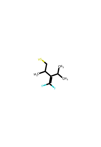 CC(C)C(=C(F)F)C(C)CS